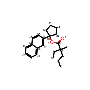 CCCC(C)(CC)C(=O)OC1(c2ccc3ccccc3c2)CCCC1